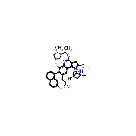 Cc1cc2c(O[C@@H](C)[C@@H]3CCCN3C)nc3c(F)c(-c4cccc5ccc(F)cc45)c(CCC#N)cc3c2n1C1[C@H]2CN[C@@H]1C2